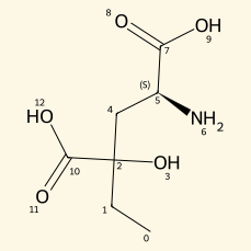 CCC(O)(C[C@H](N)C(=O)O)C(=O)O